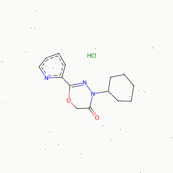 Cl.O=C1COC(c2ccccn2)=NN1C1CCCCC1